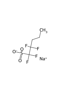 CCCC(F)(F)C(F)(F)S(=O)(=O)[O-].[Na+]